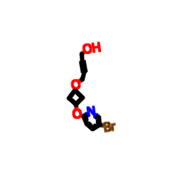 OCC#CCOC1CC(Oc2ccc(Br)cn2)C1